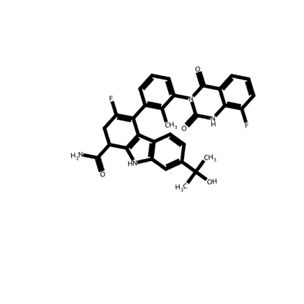 Cc1c(C2=C(F)CC(C(N)=O)c3[nH]c4cc(C(C)(C)O)ccc4c32)cccc1-n1c(=O)[nH]c2c(F)cccc2c1=O